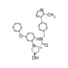 Cc1ncsc1-c1ccc(CNC(=O)[C@@H]2C[C@@H](O)CN2c2cccc(Oc3ccccc3)c2)cc1